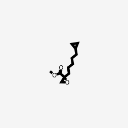 COC(=O)C1(CCCCCC2CC2)CO1